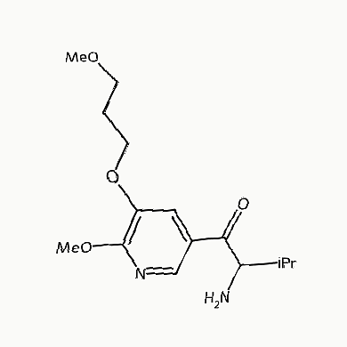 COCCCOc1cc(C(=O)C(N)C(C)C)cnc1OC